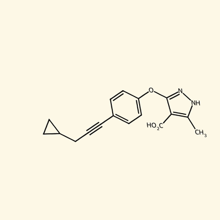 Cc1[nH]nc(Oc2ccc(C#CCC3CC3)cc2)c1C(=O)O